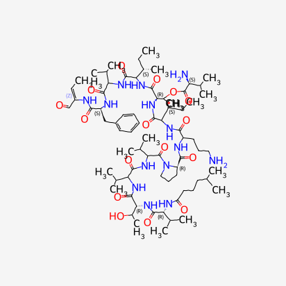 C/C=C(/C=O)NC(=O)[C@H](Cc1ccccc1)NC(=O)C(NC(=O)C(NC(=O)[C@H](NC(=O)C(NC(=O)C(CCCN)NC(=O)[C@H]1CCCN1C(=O)C(NC(=O)C(NC(=O)[C@H](NC(=O)[C@H](NC(=O)CCCC(C)C)C(C)C)C(C)O)C(C)C)C(C)C)[C@@H](C)CC)C(C)OC(=O)[C@@H](N)C(C)C)[C@@H](C)CC)C(C)C